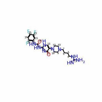 N=C(N)NCCCCN1CCN(c2c[nH]c(NC(=O)Nc3cc(F)c(F)cc3F)nc2=O)CC1